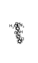 C[Si](C)(C)c1ccc(NC(=O)N2CCN(c3ccccc3Cl)CC2)cc1